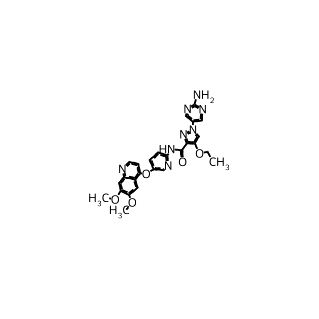 CCOc1cn(-c2cnc(N)nc2)nc1C(=O)Nc1ccc(Oc2ccnc3cc(OC)c(OC)cc23)cn1